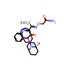 CCOC(=O)/C(=N\OCC(N)=O)c1nc2ccccc2n([C@@H]2CC3CCC[C@H](C2)N3C2CC3CCCCC(C3)C2)c1=O